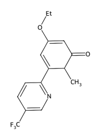 CCOC1=CC(=O)C(C)C(c2ccc(C(F)(F)F)cn2)=C1